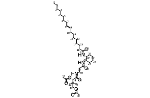 CCCCCCCCC=CCCCCCCCC(=O)N[C@@H]1CCCC[C@H]1NC(=O)CCNC(=O)[C@@H](OC(C)=O)C(C)(C)COC(C)=O